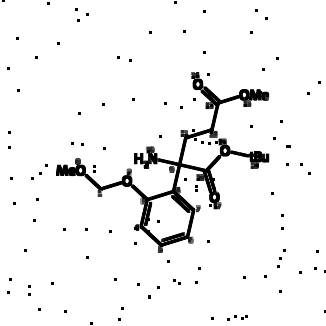 COCOc1ccccc1C(N)(CCC(=O)OC)C(=O)OC(C)(C)C